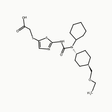 CCOC[C@H]1CC[C@H](N(C(=O)Nc2ncc(SCC(=O)O)s2)C2CCCCC2)CC1